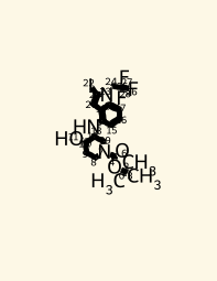 CC(C)(C)OC(=O)N1CC[C@H](O)C(Nc2cccc3c2cc(I)n3CC(F)(F)F)C1